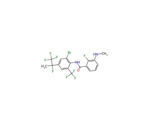 CNc1cccc(C(=O)Nc2c(Br)cc(C(C)(F)C(F)(F)F)cc2C(F)(F)F)c1F